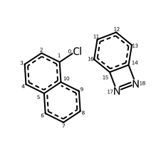 Clc1cccc2ccccc12.c1ccc2c(c1)N=N2